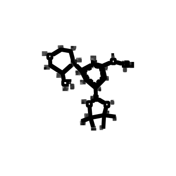 CC(C)(C)Oc1cc(B2OC(C)(C)C(C)(C)O2)cc(N2CCOCC2C(F)(F)F)n1